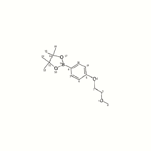 COCCOc1ccc(B2OC(C)(C)C(C)(C)O2)cc1